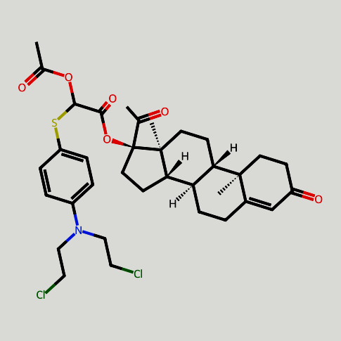 CC(=O)OC(Sc1ccc(N(CCCl)CCCl)cc1)C(=O)O[C@]1(C(C)=O)CC[C@H]2[C@@H]3CCC4=CC(=O)CC[C@]4(C)[C@H]3CC[C@@]21C